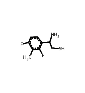 Cc1c(F)ccc(C(N)CS)c1F